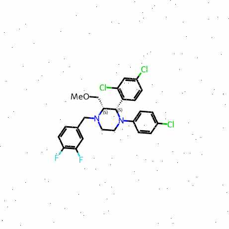 COC[C@@H]1[C@H](c2ccc(Cl)cc2Cl)N(c2ccc(Cl)cc2)CCN1Cc1ccc(F)c(F)c1